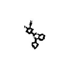 N#Cc1cc(-c2nc(-c3ccccc3)c3ccccc3n2)ccc1F